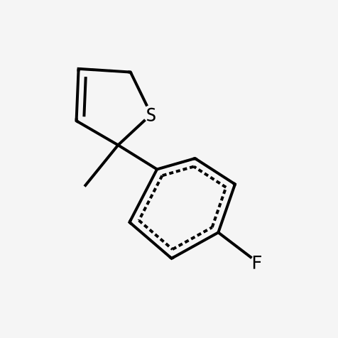 CC1(c2ccc(F)cc2)C=CCS1